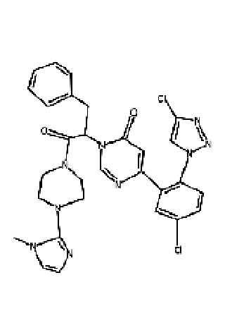 Cn1ccnc1N1CCN(C(=O)C(Cc2ccccc2)n2cnc(-c3cc(Cl)ccc3-n3cc(Cl)nn3)cc2=O)CC1